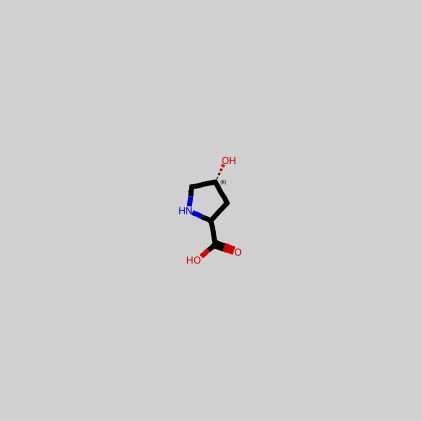 O=C(O)C1C[C@@H](O)CN1